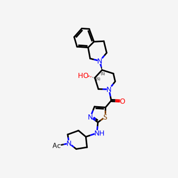 CC(=O)N1CCC(Nc2ncc(C(=O)N3CC[C@H](N4CCc5ccccc5C4)[C@@H](O)C3)s2)CC1